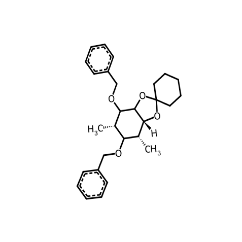 C[C@@H]1C(OCc2ccccc2)C2OC3(CCCCC3)O[C@@H]2[C@H](C)C1OCc1ccccc1